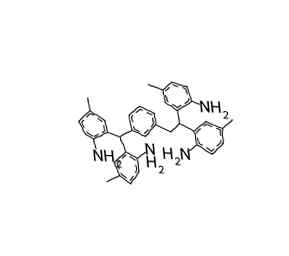 Cc1ccc(N)c(C(Cc2cccc(C(c3cc(C)ccc3N)c3cc(C)ccc3N)c2)c2cc(C)ccc2N)c1